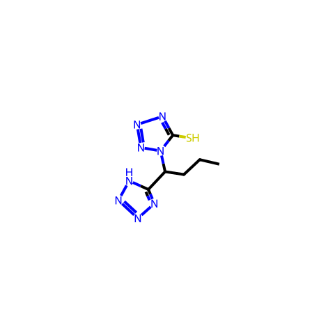 CCCC(c1nnn[nH]1)n1nnnc1S